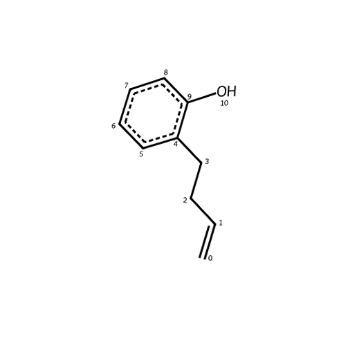 C=CCCc1ccccc1O